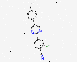 CCc1ccc(-c2cnc(-c3ccc(C#N)c(F)c3)nc2)cc1